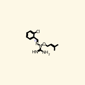 CC(C)=CCON(/N=C/c1ccccc1Cl)C(=N)N